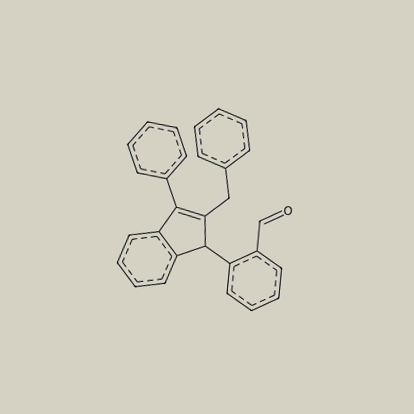 O=Cc1ccccc1C1C(Cc2ccccc2)=C(c2ccccc2)c2ccccc21